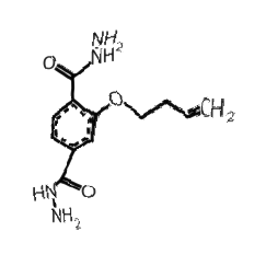 C=CCCOc1cc(C(=O)NN)ccc1C(=O)NN